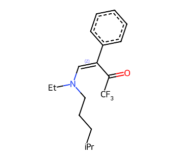 CCN(/C=C(\C(=O)C(F)(F)F)c1ccccc1)CCCC(C)C